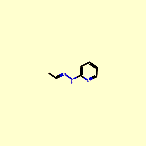 CC=NNc1ccccn1